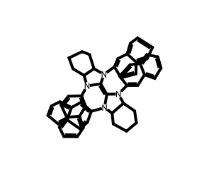 c1ccc2cc(N3C(=C4N(c5ccc6ccccc6c5)C5CCCCC5N4c4ccc5ccccc5c4)N(c4ccc5ccccc5c4)C4CCCCC43)ccc2c1